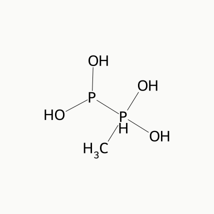 C[PH](O)(O)P(O)O